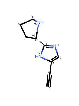 C#Cc1cnc([C@@H]2CCCN2)[nH]1